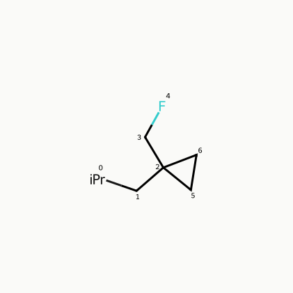 CC(C)CC1(CF)CC1